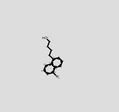 OCCCCc1cccc2c(Br)cccc12